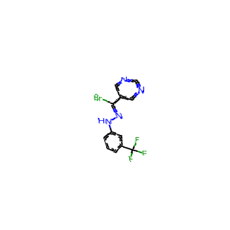 FC(F)(F)c1cccc(N/N=C(\Br)c2cncnc2)c1